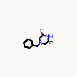 C[C@H]1CN(Cc2ccccc2)CC(=O)N1